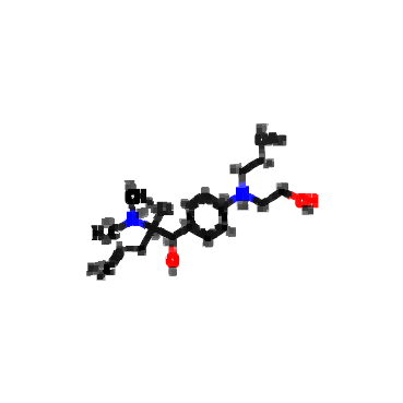 C=CCC(CC)(C(=O)c1ccc(N(CCO)CCOC(C)=O)cc1)N(C)C